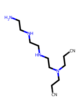 N#CCCN(CCC#N)CCNCCNCCN